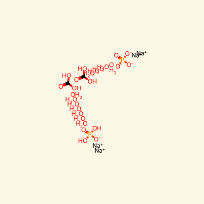 O.O.O.O.O.O.O.O.O.O.O.O.O=C(O)O.O=C(O)O.O=P([O-])(O)O.O=P([O-])([O-])[O-].[Na+].[Na+].[Na+].[Na+]